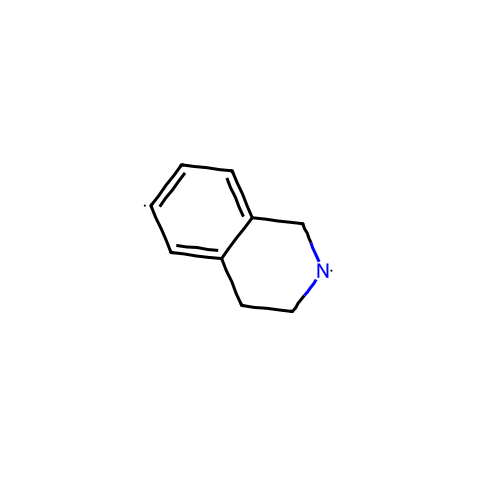 [c]1ccc2c(c1)CC[N]C2